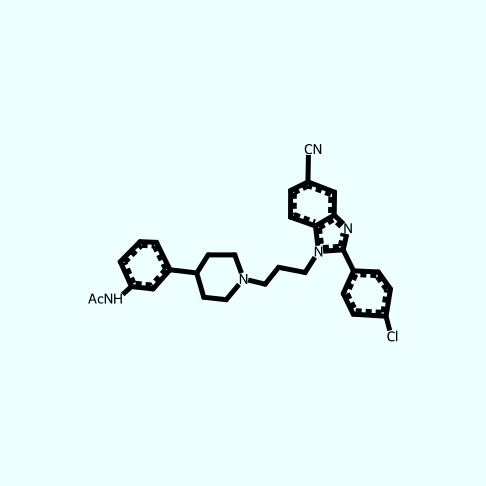 CC(=O)Nc1cccc(C2CCN(CCCn3c(-c4ccc(Cl)cc4)nc4cc(C#N)ccc43)CC2)c1